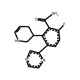 NC(=O)c1c(F)ccc(-c2cnccn2)c1C1CC=CNC1